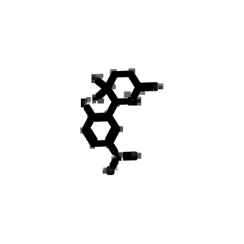 O=[N+]([O-])c1ccc(F)c(C2NC(=S)CCC2(F)F)c1